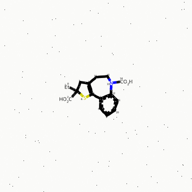 CCC1(C(=O)O)CC2=C(S1)c1ccccc1N(C(=O)O)CC2